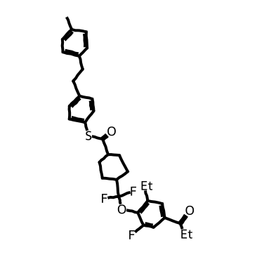 CCC(=O)c1cc(F)c(OC(F)(F)C2CCC(C(=O)Sc3ccc(CCc4ccc(C)cc4)cc3)CC2)c(CC)c1